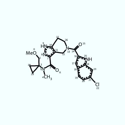 COCC1(N(C)C(=O)c2n[nH]c3c2CN(C(=O)c2cc4ccc(Cl)cc4[nH]2)CC3)CC1